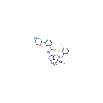 CC1(C)c2[nH]nc(NC(=O)c3cccc(C4CNCCO4)c3)c2CN1Cc1cccc(F)c1F